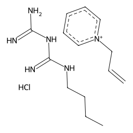 C=CC[n+]1ccccc1.CCCCNC(=N)NC(=N)N.Cl